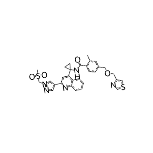 Cc1cc(COCc2cscn2)ccc1C(=O)NC1(c2cc(-c3cnn(CS(C)(=O)=O)c3)nc3ccccc23)CC1